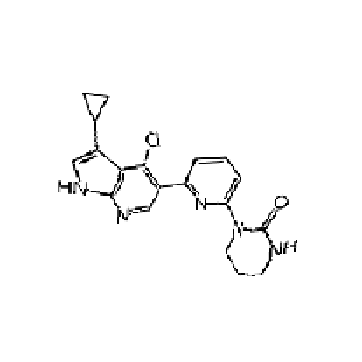 O=C1NCCCN1c1cccc(-c2cnc3[nH]cc(C4CC4)c3c2Cl)n1